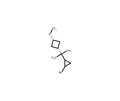 CC(C)C1CC1C(C)(C)[C@H]1C[C@@H](OC(F)(F)F)C1